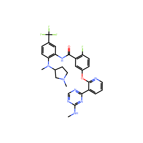 CNc1ncnc(-c2cccnc2Oc2ccc(F)c(C(=O)Nc3cc(C(F)(F)F)ccc3N(C)C3CCN(C)C3)c2)n1